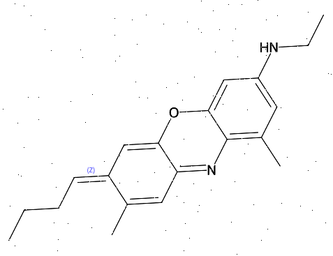 CCC/C=c1/cc2c(cc1C)=Nc1c(C)cc(NCC)cc1O2